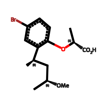 CO[C@@H](C)C[C@@H](C)c1cc(Br)ccc1O[C@@H](C)C(=O)O